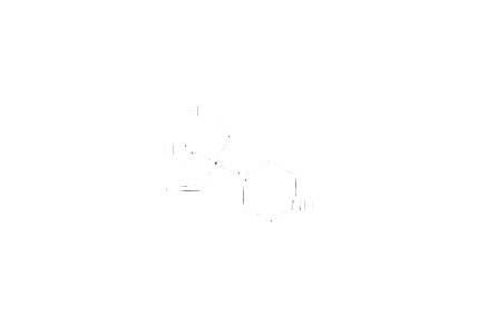 CCC(N)([C]=O)N1CCNCC1